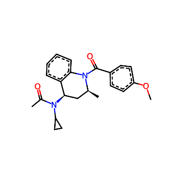 COc1ccc(C(=O)N2c3ccccc3[C@H](N(C(C)=O)C3CC3)C[C@@H]2C)cc1